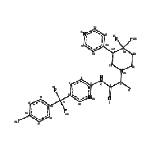 CC(C(=O)Nc1ccc(C(F)(F)c2ccc(F)cc2)cn1)N1CCC(F)(F)C(c2ccncc2)C1